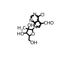 CC1(O)C(O)C(CO)OC1n1cc(C=O)c2c(Cl)ncnc21